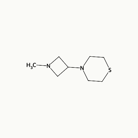 CN1CC(N2CCSCC2)C1